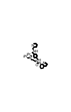 CC(C)CN(CCCN(Cc1ccc(CNCc2ccccn2)cc1)C(=O)NC1CCCc2cccnc21)CC(C)C